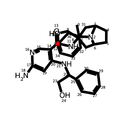 CC1(N2C3CCC2CC(CO)(NC(=O)c2cnc(N)cc2NC(CO)c2ccccc2)C3)C=CC=CC1